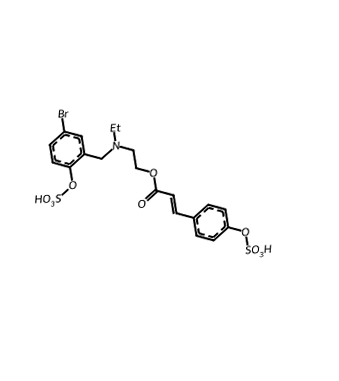 CCN(CCOC(=O)/C=C/c1ccc(OS(=O)(=O)O)cc1)Cc1cc(Br)ccc1OS(=O)(=O)O